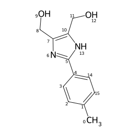 Cc1ccc(-c2nc(CO)c(CO)[nH]2)cc1